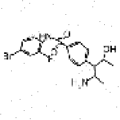 CC(N)C(c1ccc(S(=O)(=O)Nc2ccc(Br)cc2F)cc1)C(C)O